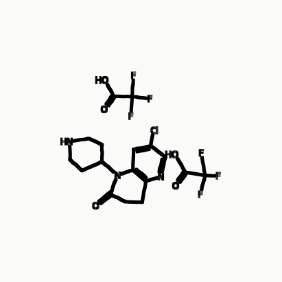 O=C(O)C(F)(F)F.O=C(O)C(F)(F)F.O=C1CCc2ncc(Cl)cc2N1C1CCNCC1